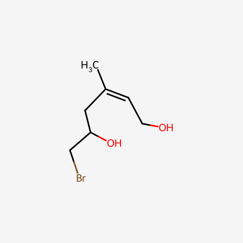 CC(=CCO)CC(O)CBr